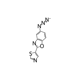 [N-]=[N+]=Nc1ccc2oc(-c3cncs3)nc2c1